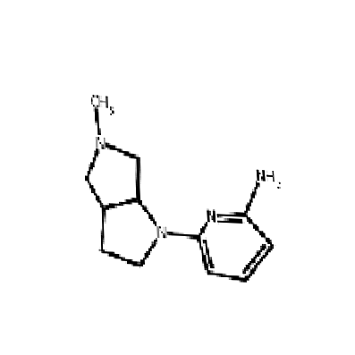 CN1CC2CCN(c3cccc(N)n3)C2C1